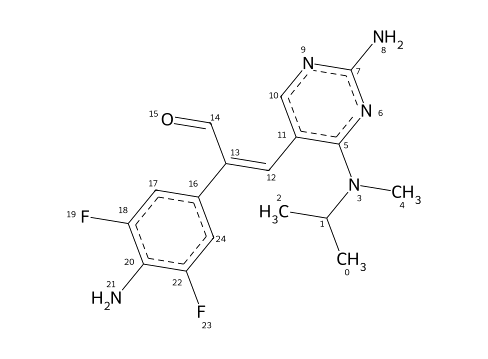 CC(C)N(C)c1nc(N)ncc1/C=C(\C=O)c1cc(F)c(N)c(F)c1